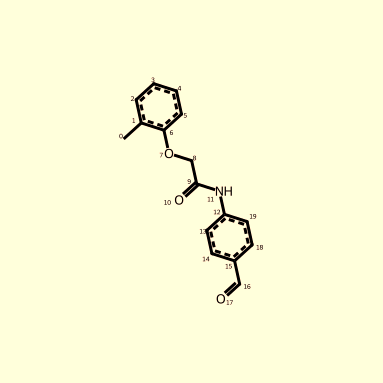 Cc1ccccc1OCC(=O)Nc1ccc(C=O)cc1